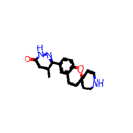 CC1CC(=O)NN=C1c1ccc2c(c1)CCC1(CCNCC1)O2